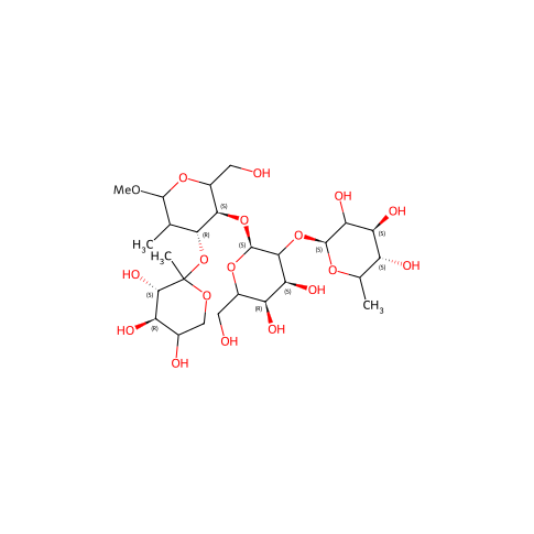 COC1OC(CO)[C@@H](O[C@@H]2OC(CO)[C@H](O)[C@H](O)C2O[C@@H]2OC(C)[C@@H](O)[C@H](O)C2O)[C@H](OC2(C)OCC(O)[C@@H](O)[C@@H]2O)C1C